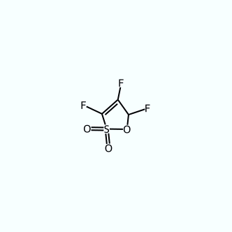 O=S1(=O)OC(F)C(F)=C1F